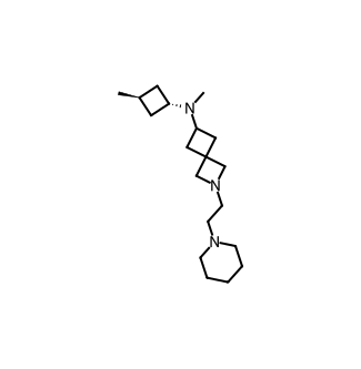 CN(C1CC2(C1)CN(CCN1CCCCC1)C2)[C@H]1C[C@H](C)C1